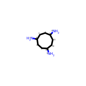 NC1CCC(N)CCC(N)CC1